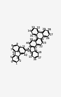 c1ccc2c(c1)-c1cccc3cc(-n4c5ccccc5c5c6ccc7c8ccccc8c8ccccc8c7c6ccc54)cc-2c13